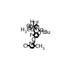 Cc1ccc(Cl)nc1COc1cccc(C[C@H]2[C@@H](NS(C)(=O)=O)C(F)(F)CN2C(=O)OC(C)(C)C)c1F